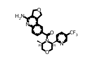 C[C@@H]1COC[C@H](c2ccc(C(F)(F)F)cn2)N1C(=O)c1ccc2nc(N)c3c(c2c1)COC3